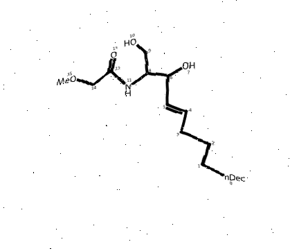 CCCCCCCCCCCCCC=CC(O)C(CO)NC(=O)COC